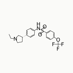 CCN1CC[C@@H](c2ccc(NS(=O)(=O)c3ccc(OC(F)(F)F)cc3)cc2)C1